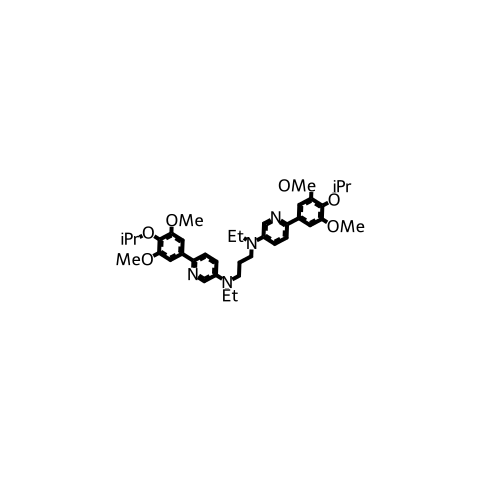 CCN(CCCN(CC)c1ccc(-c2cc(OC)c(OC(C)C)c(OC)c2)nc1)c1ccc(-c2cc(OC)c(OC(C)C)c(OC)c2)nc1